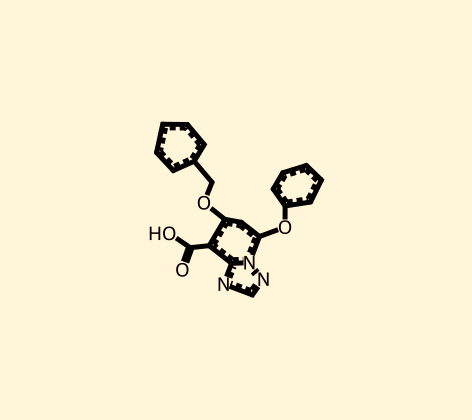 O=C(O)c1c(OCc2ccccc2)cc(Oc2ccccc2)n2ncnc12